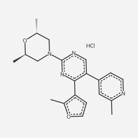 Cc1cc(-c2cnc(N3C[C@@H](C)O[C@H](C)C3)nc2-c2ccoc2C)ccn1.Cl